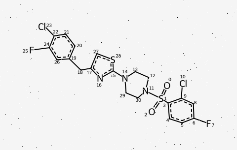 O=S(=O)(c1ccc(F)cc1Cl)N1CCN(c2nc(Cc3ccc(Cl)c(F)c3)cs2)CC1